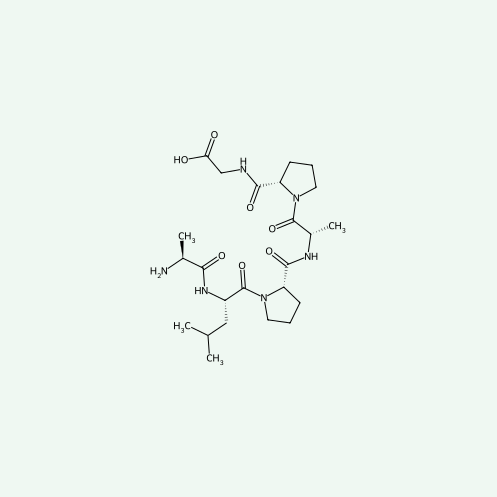 CC(C)C[C@H](NC(=O)[C@H](C)N)C(=O)N1CCC[C@H]1C(=O)N[C@@H](C)C(=O)N1CCC[C@H]1C(=O)NCC(=O)O